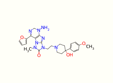 COc1ccc(C2(O)CCN(CCn3c(=O)n(C)n4c5c(nc34)N(N)CN=C5c3ccco3)CC2)cc1